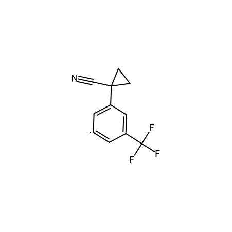 N#CC1(c2c[c]cc(C(F)(F)F)c2)CC1